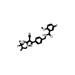 COc1ccc(F)cc1C(=O)NCc1ccc(-c2nn(CC(C)C(F)(F)F)c(N)c2C#N)cc1